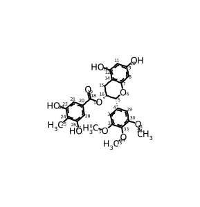 COc1cc([C@H]2Oc3cc(O)cc(O)c3C[C@H]2OC(=O)c2cc(O)c(C)c(O)c2)cc(OC)c1OC